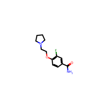 NC(=O)c1ccc(OCCN2CCCC2)c(F)c1